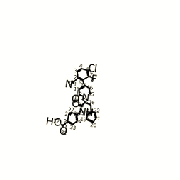 N#Cc1ccc(Cl)c(F)c1C1=CC(=O)N(C(Cc2ccccc2)C(=O)Nc2ccc(C(=O)O)cc2)CC1